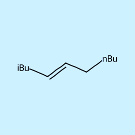 CCCCCC=CC(C)CC